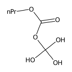 CCCOC(=O)OC(O)(O)O